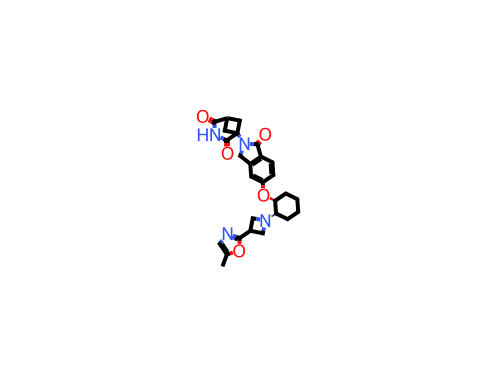 Cc1cnc(C2CN([C@H]3CCCC[C@@H]3Oc3ccc4c(c3)CN(C35CC(C3)C(=O)NC5=O)C4=O)C2)o1